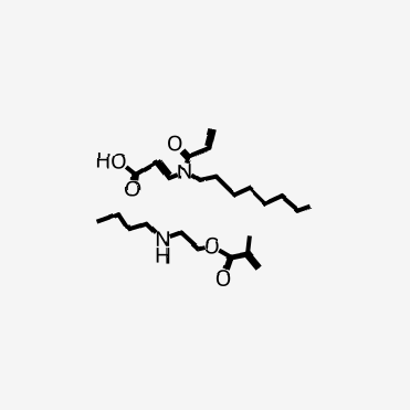 C=C(C)C(=O)OCCNCCCC.C=CC(=O)N(/C=C/C(=O)O)CCCCCCCC